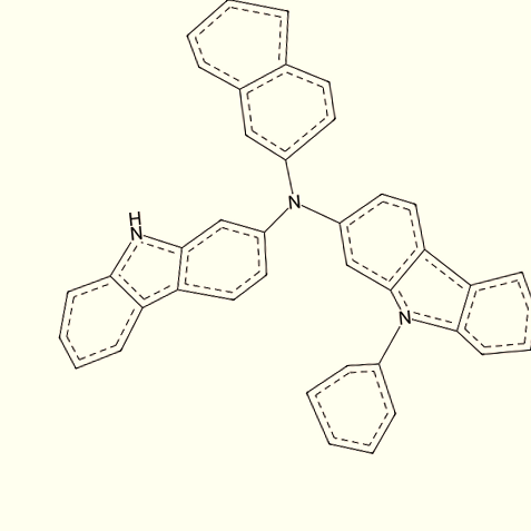 c1ccc(-n2c3ccccc3c3ccc(N(c4ccc5ccccc5c4)c4ccc5c(c4)[nH]c4ccccc45)cc32)cc1